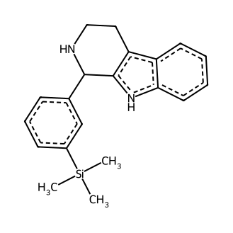 C[Si](C)(C)c1cccc(C2NCCc3c2[nH]c2ccccc32)c1